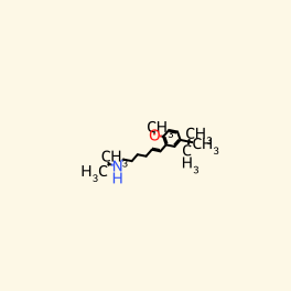 COc1ccc(C(C)(C)C)cc1/C=C/CCCCNC(C)C